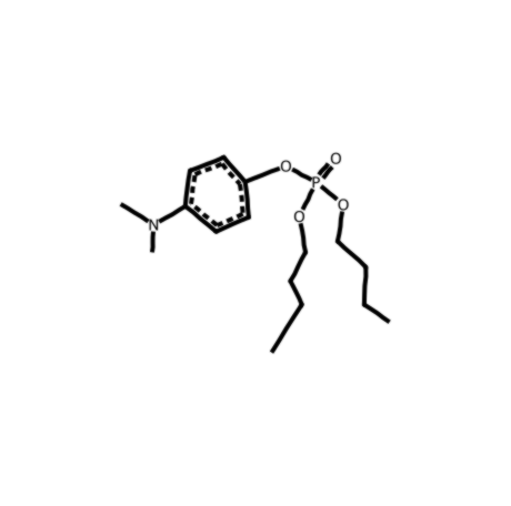 CCCCOP(=O)(OCCCC)Oc1ccc(N(C)C)cc1